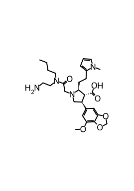 CCCCN(CCN)C(=O)CN1C[C@H](c2cc(OC)c3c(c2)OCO3)[C@@H](C(=O)O)[C@@H]1CCc1cccn1C